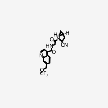 N#C[C@@H]1C[C@@H]2C[C@@H]2N1C(=O)CNC(=O)c1ccnc2cc(COC(F)(F)F)ccc12